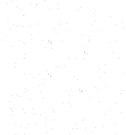 CN(C)C(=O)c1ccc(-c2ncccc2CC(c2cccnc2)c2cccnc2)cc1